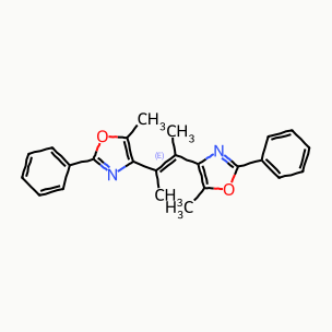 C/C(=C(/C)c1nc(-c2ccccc2)oc1C)c1nc(-c2ccccc2)oc1C